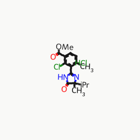 COC(=O)c1ccc(C)c(C2=NC(C)(C(C)C)C(=O)N2)c1Cl.Cl